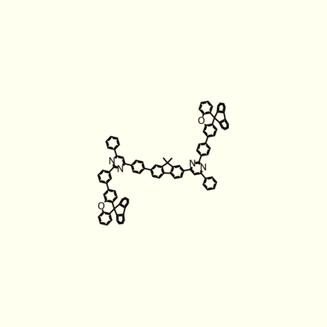 CC1(C)c2cc(-c3ccc(-c4cc(-c5ccccc5)nc(-c5cccc(-c6ccc7c(c6)Oc6ccccc6C76c7ccccc7-c7ccccc76)c5)n4)cc3)ccc2-c2ccc(-c3cc(-c4ccccc4)nc(-c4ccc(-c5ccc6c(c5)Oc5ccccc5C65c6ccccc6-c6ccccc65)cc4)n3)cc21